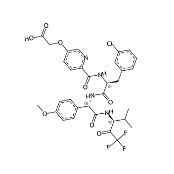 COc1ccc([C@H](NC(=O)[C@H](Cc2cccc(Cl)c2)NC(=O)c2ccc(OCC(=O)O)cn2)C(=O)N[C@H](C(=O)C(F)(F)F)C(C)C)cc1